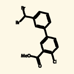 COC(=O)c1cc(-c2cccc(C(Br)Br)c2)ccc1Cl